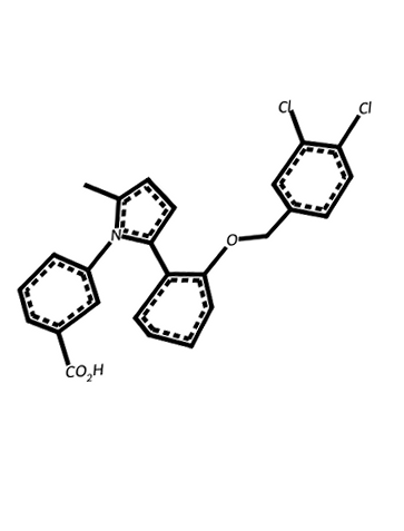 Cc1ccc(-c2ccccc2OCc2ccc(Cl)c(Cl)c2)n1-c1cccc(C(=O)O)c1